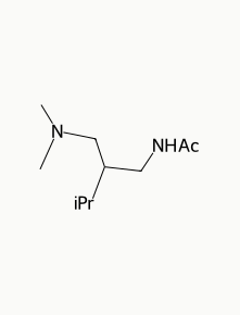 CC(=O)NCC(CN(C)C)C(C)C